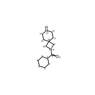 O=C(C1CCCCC1)N1CC2(CCNCC2)C1